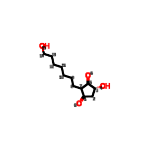 O=C1C[C@@H](O)C(=O)C1CCCCCCCO